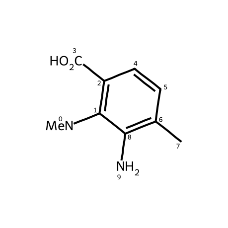 CNc1c(C(=O)O)ccc(C)c1N